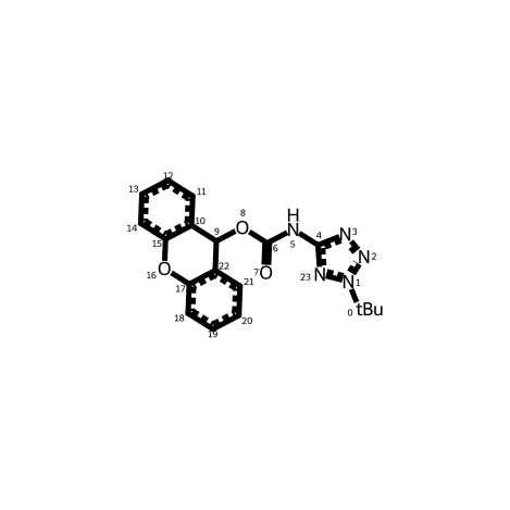 CC(C)(C)n1nnc(NC(=O)OC2c3ccccc3Oc3ccccc32)n1